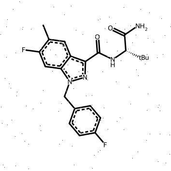 Cc1cc2c(C(=O)N[C@H](C(N)=O)C(C)(C)C)nn(Cc3ccc(F)cc3)c2cc1F